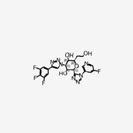 OCC[C@H]1O[C@@H](c2nncn2-c2cncc(F)c2)[C@H](O)[C@@H](n2cc(-c3cc(F)c(F)c(F)c3)nn2)[C@H]1O